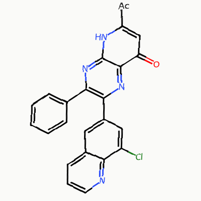 CC(=O)c1cc(=O)c2nc(-c3cc(Cl)c4ncccc4c3)c(-c3ccccc3)nc2[nH]1